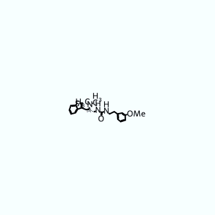 COc1cccc(CCNC(=O)NC[C@H](Cc2csc3ccccc23)N(C)C)c1